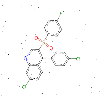 O=S(=O)(c1ccc(F)cc1)c1cnc2cc(Cl)ccc2c1-c1ccc(Cl)cc1